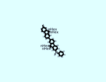 CCCCCCC1(CCCCCC)c2cc(C)ccc2-c2ccc(-c3ccc4c(c3)C(CCCCCC)(CCCCCC)c3cc(N(C)c5ccccc5)ccc3-4)cc21